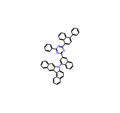 c1ccc(-c2nc(-c3cc(-n4c5cc6ccccc6cc5c5c6ccccc6ccc54)c4ccccc4c3)nc(-c3ccc(-c4ccccc4)c4ccccc34)n2)cc1